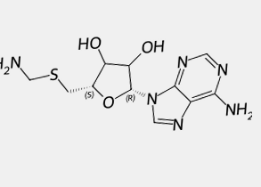 NCSC[C@H]1O[C@@H](n2cnc3c(N)ncnc32)C(O)C1O